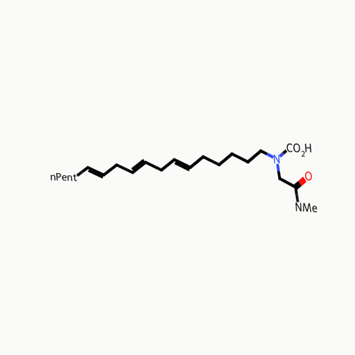 CCCCCC=CCC=CCC=CCCCCCN(CC(=O)NC)C(=O)O